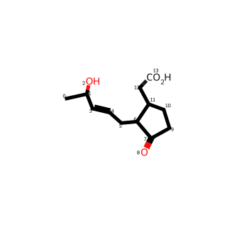 CC(O)C=CCC1C(=O)CCC1CC(=O)O